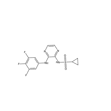 O=S(=O)(Nc1nccnc1Nc1cc(F)c(F)c(F)c1)C1CC1